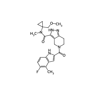 COCC1(N(C)C(=O)c2[nH]nc3c2CN(C(=O)c2cc4c(C)c(F)ccc4[nH]2)CC3)CC1